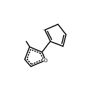 Cc1ccoc1C1=[C]CC=C1